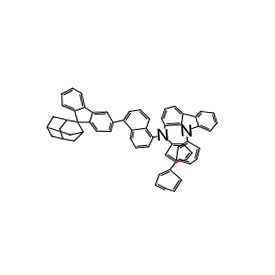 c1ccc(-c2cccc(N(c3cccc4c(-c5ccc6c(c5)-c5ccccc5C65C6CC7CC(C6)CC5C7)cccc34)c3cccc4c5ccccc5n(-c5ccccc5)c34)c2)cc1